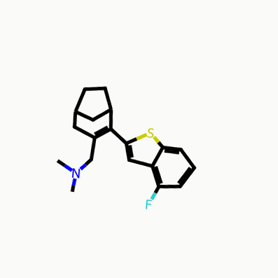 CN(C)CC1=C(c2cc3c(F)cccc3s2)C2CCC(C1)C2